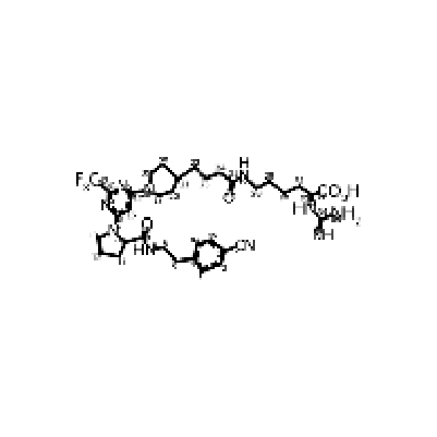 N#Cc1ccc(CCNC(=O)C2CCCN2c2cc(N3CCC(CCCC(=O)NCCCCC(NC(=N)N)C(=O)O)CC3)nc(C(F)(F)F)n2)cc1